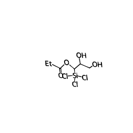 CCC(=O)OC(C(O)CO)[Si](Cl)(Cl)Cl